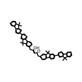 CC1(C)c2ccccc2-c2ccc(-c3ccc4c(c3)C(C)(C)c3cc(CC(=O)/C=C(\O)Cc5ccc6c(c5)C(C)(C)c5cc(-c7ccc8c(c7)C(C)(C)c7ccccc7-8)ccc5-6)ccc3-4)cc21